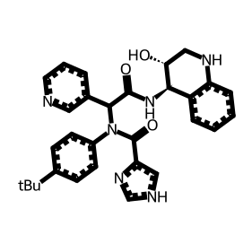 CC(C)(C)c1ccc(N(C(=O)c2c[nH]cn2)C(C(=O)N[C@@H]2c3ccccc3NC[C@H]2O)c2cccnc2)cc1